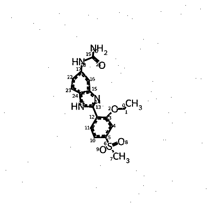 CCOc1cc(S(C)(=O)=O)ccc1-c1nc2cc(NC(N)=O)ccc2[nH]1